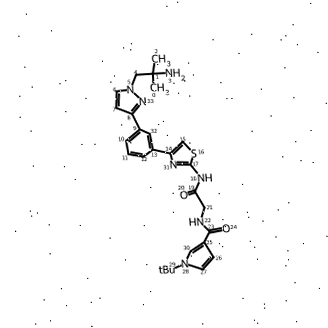 CC(C)(N)Cn1ccc(-c2cccc(-c3csc(NC(=O)CNC(=O)c4ccn(C(C)(C)C)c4)n3)c2)n1